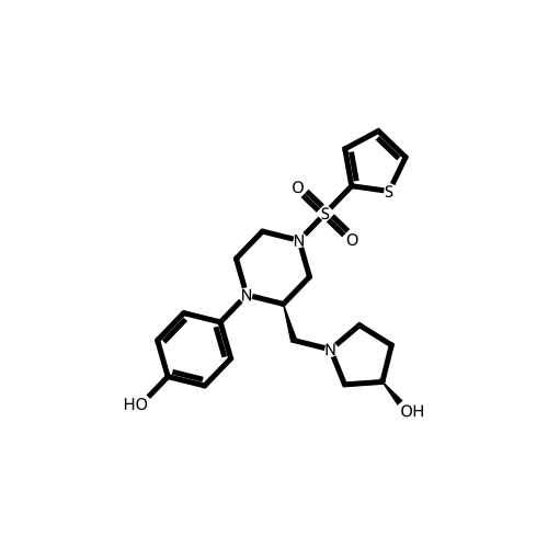 O=S(=O)(c1cccs1)N1CCN(c2ccc(O)cc2)[C@H](CN2CC[C@@H](O)C2)C1